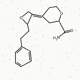 NC(=O)C1CC(=C2COC2CCc2ccccc2)CCO1